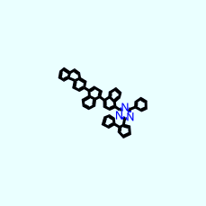 c1ccc(-c2nc(-c3ccccc3-c3ccccc3)nc(-c3ccc(-c4ccc(-c5ccc6c(ccc7ccccc76)c5)c5ccccc45)c4ccccc34)n2)cc1